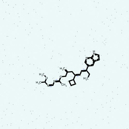 C=C(CO/C(C)=N/C=N\C(C)OC)C/C(=C\C=C(/CC)c1cnc2[nH]ccc2c1)C1CCC1